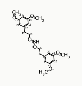 COc1cc(CCOBOCCc2cc(OC)cc(OC)c2)cc(OC)c1